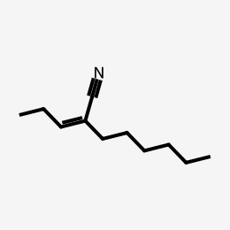 CCC=C(C#N)CCCCCC